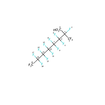 O=C(O)C(F)(C(F)(F)F)C(F)(F)C(F)(F)C(F)(F)C(F)(F)C(F)(F)C(F)(F)F